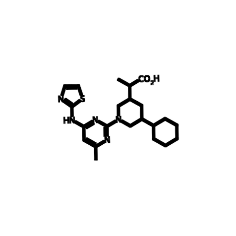 Cc1cc(Nc2nccs2)nc(N2CC(C3CCCCC3)CC(C(C)C(=O)O)C2)n1